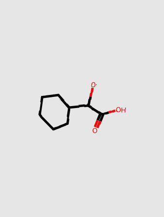 [O]C(C(=O)O)C1CCCCC1